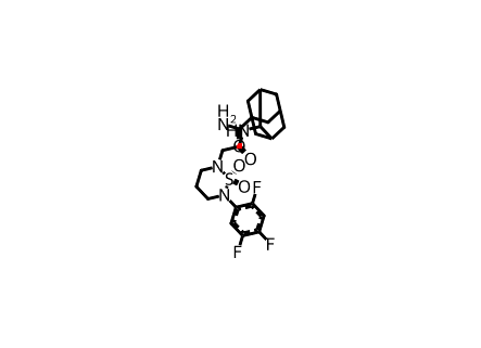 NC(=O)C12CC3CC(C1)C(NC(=O)CN1CCCN(c4cc(F)c(F)cc4F)S1(=O)=O)C(C3)C2